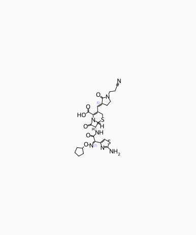 N#CCCN1CC/C(=C\C2=C(C(=O)O)N3C(=O)[C@@H](NC(=O)/C(=N\OC4CCCC4)c4csc(N)n4)[C@H]3SC2)C1=O